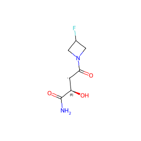 NC(=O)[C@H](O)[CH]C(=O)N1CC(F)C1